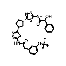 O=C(Cc1cccc(OC(F)(F)F)c1)Nc1nnc([C@H]2CC[C@H](c3nnc(NC(=O)C(O)c4ccccc4)s3)C2)s1